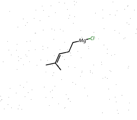 CC(C)=CC[CH2][Mg][Cl]